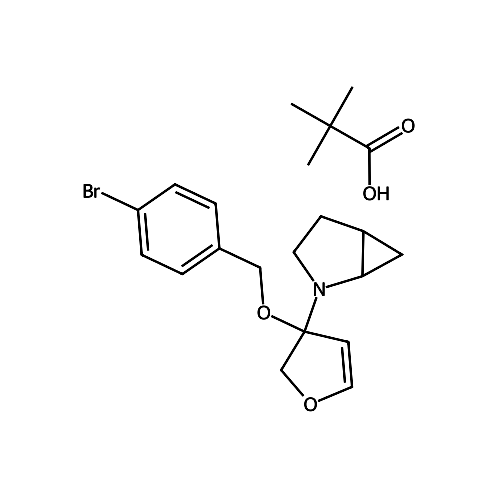 Brc1ccc(COC2(N3CCC4CC43)C=COC2)cc1.CC(C)(C)C(=O)O